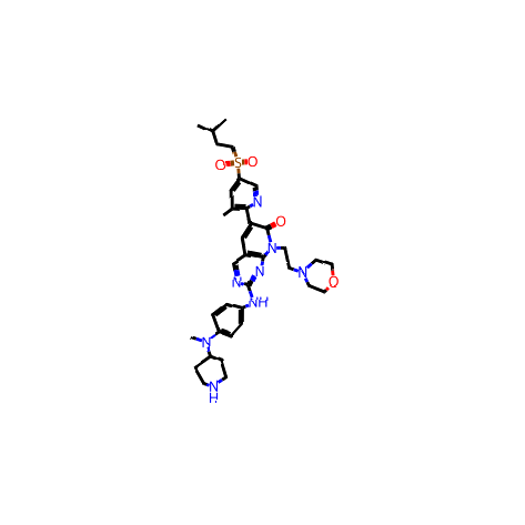 Cc1cc(S(=O)(=O)CCC(C)C)cnc1-c1cc2cnc(Nc3ccc(N(C)C4CCNCC4)cc3)nc2n(CCN2CCOCC2)c1=O